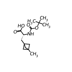 CC12CC(C[C@@H](NC(=O)OC(C)(C)C)C(=O)O)(C1)C2